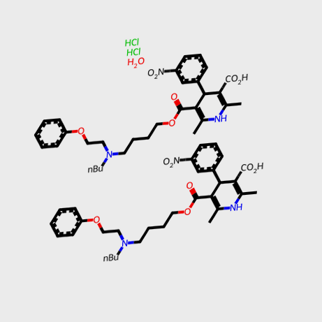 CCCCN(CCCCOC(=O)C1=C(C)NC(C)=C(C(=O)O)C1c1cccc([N+](=O)[O-])c1)CCOc1ccccc1.CCCCN(CCCCOC(=O)C1=C(C)NC(C)=C(C(=O)O)C1c1cccc([N+](=O)[O-])c1)CCOc1ccccc1.Cl.Cl.O